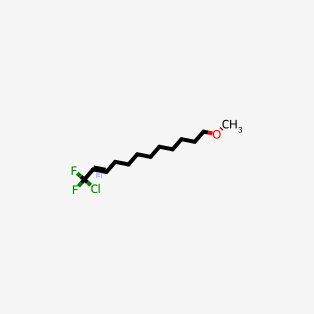 COCCCCCCCCC/C=C/C(F)(F)Cl